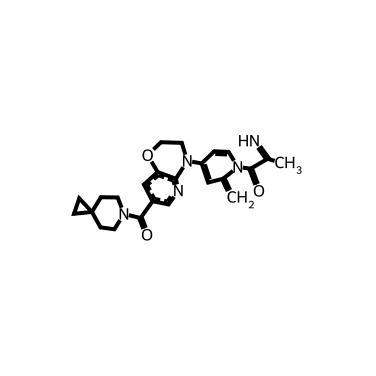 C=C1C=C(N2CCOc3cc(C(=O)N4CCC5(CC4)CC5)cnc32)C=CN1C(=O)C(C)=N